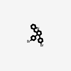 Brc1ccc(-c2ccc3nc4ccccc4cc3c2-c2ccc(Br)cc2)cc1